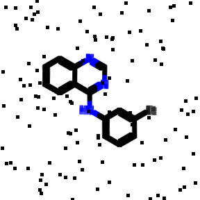 CCc1cccc(Nc2ncnc3ccccc23)c1